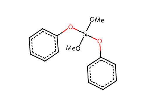 CO[Si](OC)(Oc1ccccc1)Oc1ccccc1